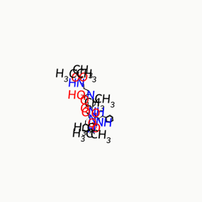 CC(=O)[C@@H](CC(C)/C=N/[C@H](CCCNC(=O)OC(C)(C)C)C(=O)O)NC(=O)[C@@H](Cc1ccccc1)NC(=O)[C@@H](Cc1ccccc1)NC(=O)OC(C)(C)C